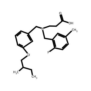 CCC(C)COc1cccc(CN(CCC(=O)O)Cc2cc(C)ccc2F)c1